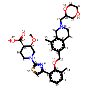 CO[C@H]1CN(c2nc(-c3cccc(C)c3OCc3cc(C)c4c(c3)CCN(CC3COCCO3)C4)cs2)CC[C@H]1C(=O)O